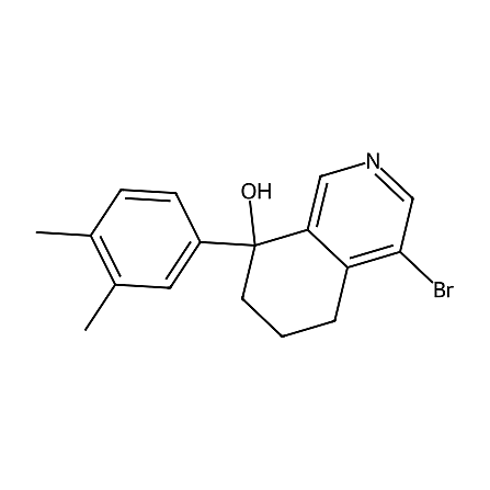 Cc1ccc(C2(O)CCCc3c(Br)cncc32)cc1C